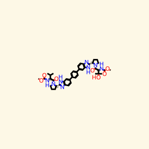 COC(=O)N[C@H](C(=O)N1CCC[C@H]1c1nc2ccc(-c3ccc(-c4ccc5nc([C@@H]6CCCN6C(=O)[C@@H](NC(=O)OC)C(C)(C)O)[nH]c5c4)cc3)cc2[nH]1)C(C)C